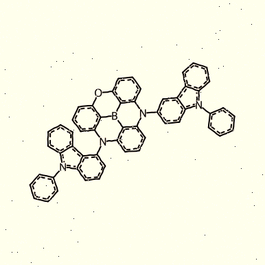 c1ccc(-n2c3ccccc3c3cc(N4c5cccc6c5B5c7c(cccc7N(c7cccc8c7c7ccccc7n8-c7ccccc7)c7cccc4c75)O6)ccc32)cc1